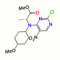 COC(=O)[C@@H](C)N(c1nc(Cl)ncc1[N+](=O)[O-])C1CCC(OC)CC1